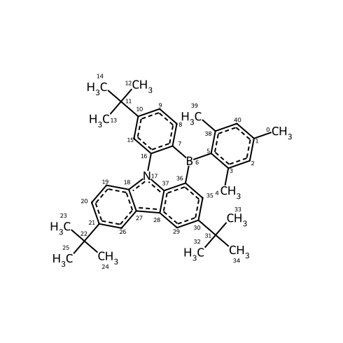 Cc1cc(C)c(B2c3ccc(C(C)(C)C)cc3-n3c4ccc(C(C)(C)C)cc4c4cc(C(C)(C)C)cc2c43)c(C)c1